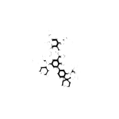 CCN(c1cc(-c2ccc3c(c2)N(C(C)C)CC32CCOCC2)c(Cl)c(C(=O)NCc2c(OC)cc(C)[nH]c2=O)c1C)C1CCOCC1